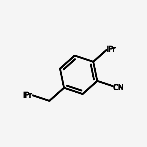 CC(C)Cc1ccc(C(C)C)c(C#N)c1